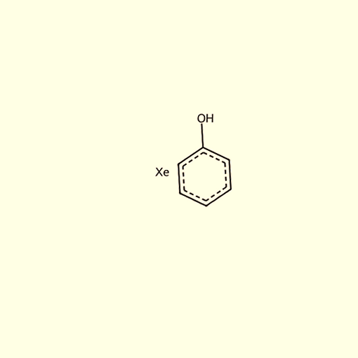 Oc1ccccc1.[Xe]